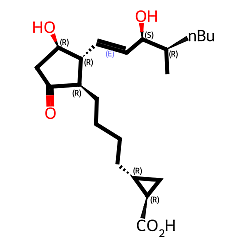 CCCC[C@@H](C)[C@H](O)/C=C/[C@H]1[C@H](O)CC(=O)[C@@H]1CCCC[C@@H]1C[C@H]1C(=O)O